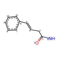 [NH]C(=O)CC=Cc1ccccc1